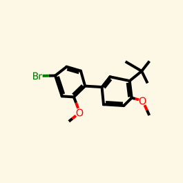 COc1cc(Br)ccc1-c1ccc(OC)c(C(C)(C)C)c1